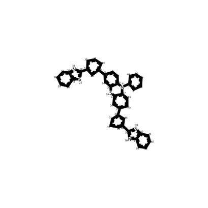 c1ccc(N2c3ccc(-c4cccc(-c5nc6ccccc6s5)c4)cc3Sc3cc(-c4cccc(-c5nc6ccccc6s5)c4)ccc32)cc1